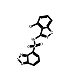 O=S(=O)(Nc1noc2cccc(Cl)c12)c1cccc2nsnc12